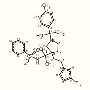 Cc1ccc(C(C)(C)N2CCC(CCc3ccc(F)s3)(C(C)(C)NS(=O)(=O)c3ccccc3)C2)cn1